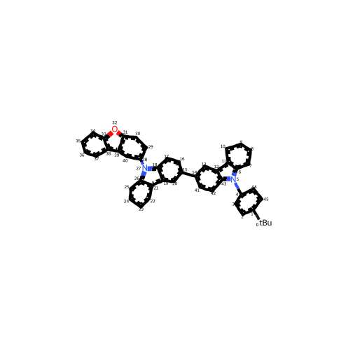 CC(C)(C)c1ccc(-n2c3ccccc3c3cc(-c4ccc5c(c4)c4ccccc4n5-c4ccc5oc6ccccc6c5c4)ccc32)cc1